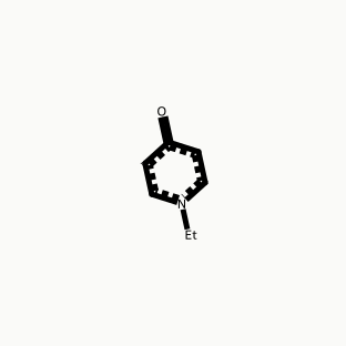 CCn1c[c]c(=O)cc1